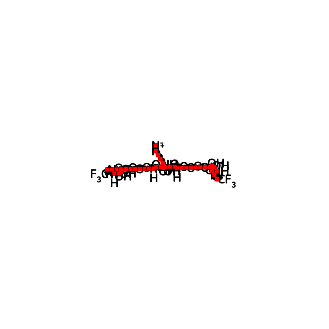 [N-]=[N+]=NCCCCCCNC(C(O)CCC(=O)NCCOCCOCCOCCOC[C@H]1OC[C@H](Nc2nccc(C(F)(F)F)n2)[C@@H](O)[C@H]1O)C(O)CCC(=O)NCCOCCOCCOCCOC[C@H]1OC[C@H](Nc2nccc(C(F)(F)F)n2)[C@@H](O)[C@H]1O